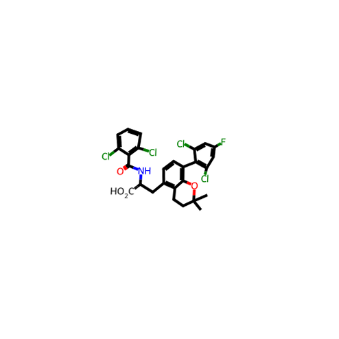 CC1(C)CCc2c(CC(NC(=O)c3c(Cl)cccc3Cl)C(=O)O)ccc(-c3c(Cl)cc(F)cc3Cl)c2O1